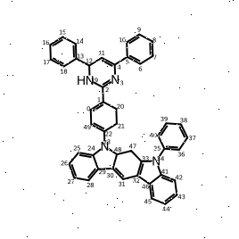 C1=C(C2=NC(c3ccccc3)=CC(c3ccccc3)N2)CCC(N2c3ccccc3C3=Cc4c(n(-c5ccccc5)c5ccccc45)CC32)=C1